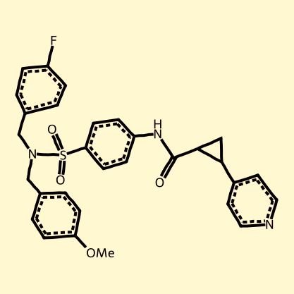 COc1ccc(CN(Cc2ccc(F)cc2)S(=O)(=O)c2ccc(NC(=O)C3CC3c3ccncc3)cc2)cc1